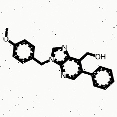 COc1ccc(Cn2cnc3c(CO)c(-c4ccccc4)cnc32)cc1